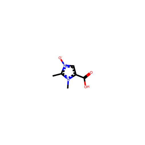 Cc1n(C)c(C(=O)O)c[n+]1[O-]